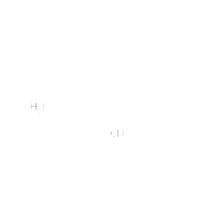 C=CCC1(C)C2CCCCC21